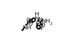 C=CCNCCCS(=O)(=O)N1CCC(Nc2nc(N)c(C(=O)c3c(F)cccc3F)s2)CC1